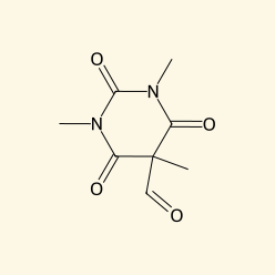 CN1C(=O)N(C)C(=O)C(C)(C=O)C1=O